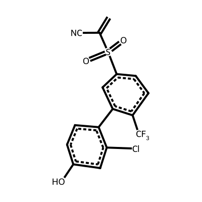 C=C(C#N)S(=O)(=O)c1ccc(C(F)(F)F)c(-c2ccc(O)cc2Cl)c1